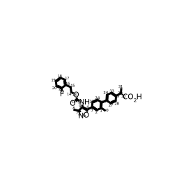 Cc1cc(-c2onc(C)c2NC(=O)OCCc2ccccc2F)ccc1-c1ccc([C@@H](C)C(=O)O)cc1